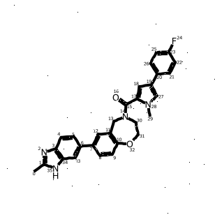 Cc1nc2ccc(-c3ccc4c(c3)CN(C(=O)c3cc(-c5ccc(F)cc5)cn3C)CCO4)cc2[nH]1